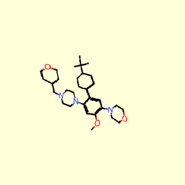 COc1cc(N2CCN(CC3CCOCC3)CC2)c(C2CCC(C(C)(C)C)CC2)cc1N1CCOCC1